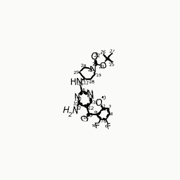 COc1ccc(F)c(F)c1C(=O)c1cnc(NC2CCN(C(=O)OC(C)(C)C)CC2)nc1N